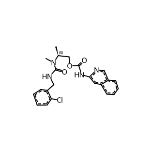 C[C@@H](COC(=O)Nc1cc2ccccc2cn1)N(C)C(=O)NCc1ccccc1Cl